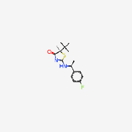 C[C@H](NC1=NC(=O)[C@@](C)(C(C)(C)C)S1)c1ccc(F)cc1